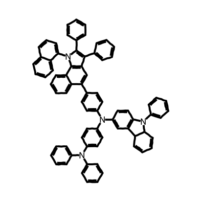 C1=CC2c3cc(N(c4ccc(-c5cc6c(-c7ccccc7)c(-c7ccccc7)n(-c7cccc8ccccc78)c6c6ccccc56)cc4)c4ccc(N(c5ccccc5)c5ccccc5)cc4)ccc3N(c3ccccc3)C2C=C1